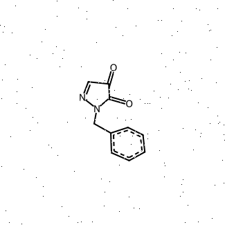 O=C1C=NN(Cc2ccccc2)C1=O